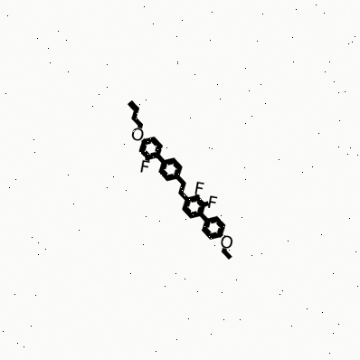 C=CCCOc1ccc(-c2ccc(CCc3ccc(-c4ccc(OCC)cc4)c(F)c3F)cc2)c(F)c1